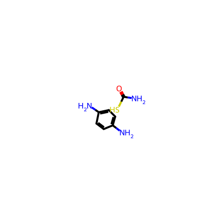 NC(=O)S.Nc1ccc(N)cc1